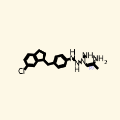 C/C(N)=C/N(N)NNc1ccc(CC2CCc3ccc(Cl)cc32)cc1